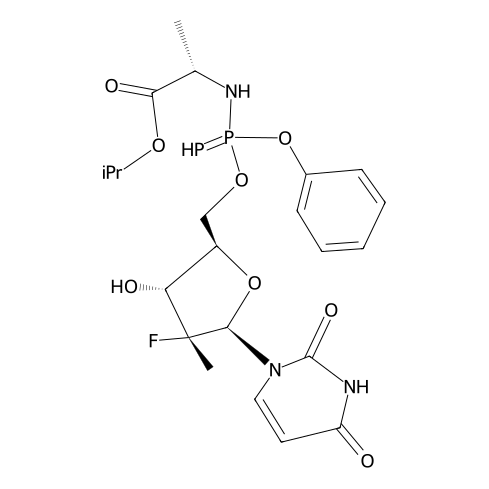 CC(C)OC(=O)[C@H](C)NP(=P)(OC[C@H]1O[C@@H](n2ccc(=O)[nH]c2=O)[C@](C)(F)[C@@H]1O)Oc1ccccc1